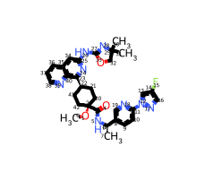 CO[C@]1(C(=O)N[C@@H](C)c2ccc(-n3cc(F)cn3)nc2)CC[C@H](c2nc(NC3=NC(C)(C)CO3)cc3cccnc32)CC1